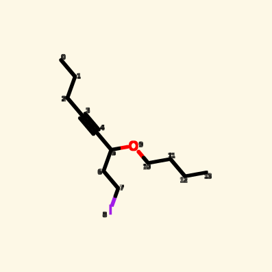 CCCC#CC(CCI)OCCCC